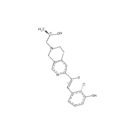 C[C@@H](O)CN1CCc2cc(/C(F)=C/c3cccc(O)c3Cl)ncc2C1